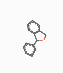 c1ccc(C2OCc3ccccc32)cc1